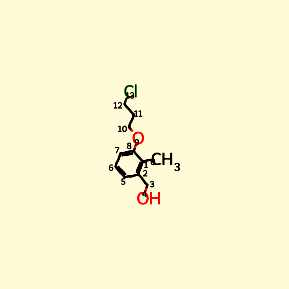 Cc1c(CO)cccc1OCCCCl